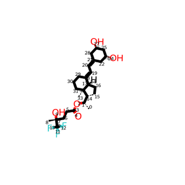 C[C@H](OC(=O)CC[C@@](C)(O)C(F)(F)F)[C@H]1CC[C@H]2/C(=C/C=C3C[C@@H](O)C[C@H](O)C3)CCC[C@]12C